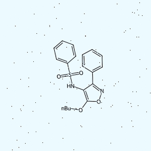 CCCCOc1onc(-c2ccccc2)c1NS(=O)(=O)c1ccccc1